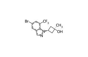 C[C@]1(O)C[C@@H](n2ncc3cc(Br)cc(C(F)(F)F)c32)C1